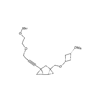 COC1CC(OCC23CC2C2CC2(C#CCOCCOC(C)(C)C)C3)C1